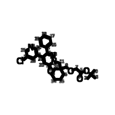 CC(C)(C)OC(=O)COCC1(Cn2nc(-c3ccccc3)c(-c3cncc(Cl)c3)cc2=O)CCCCC1